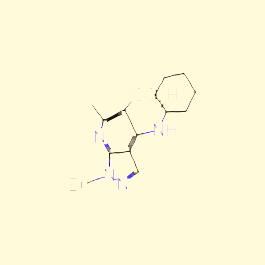 CCn1ncc2c(NC3CCCCC3)c(C(=O)O)c(C)nc21